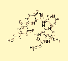 COC(=O)N[C@@H]1[C@H](N)CN(c2ccncc2Nc2ncc3ccc(-c4c(F)cc(CCO)cc4F)nn23)C[C@@H]1C